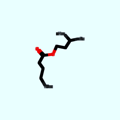 CCCCCCCCCCCCCC(=O)OCCC(CCCC)CCCCCC